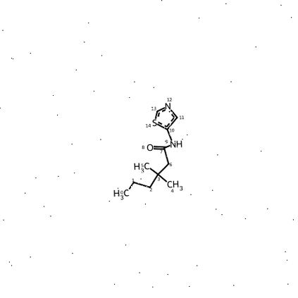 CCCC(C)(C)CC(=O)Nc1cncs1